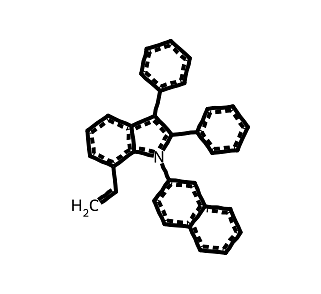 C=Cc1cccc2c(-c3ccccc3)c(-c3ccccc3)n(-c3ccc4ccccc4c3)c12